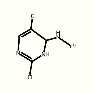 CC(C)NC1NC(Cl)=NC=C1Cl